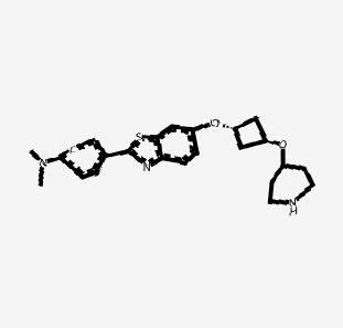 CN(C)c1ccc(-c2nc3ccc(O[C@H]4C[C@H](OC5CCNCC5)C4)cc3s2)cc1